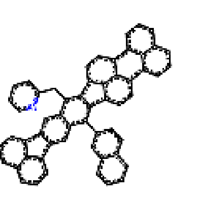 c1ccc(Cc2c3cc4c(cc3c(-c3ccc5ccccc5c3)c3c5ccc6c7cccc8cccc(c9ccc(c23)c5c96)c87)c2cccc3cccc4c32)nc1